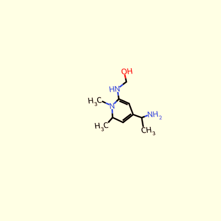 CC(N)C1=CC(C)N(C)C(NCO)=C1